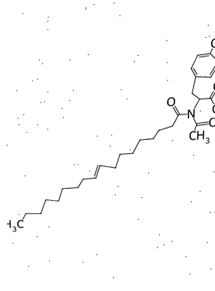 CCCCCCCCC=CCCCCCCCC(=O)N(C(C)=O)C(Cc1ccc(O)cc1)C(=O)O